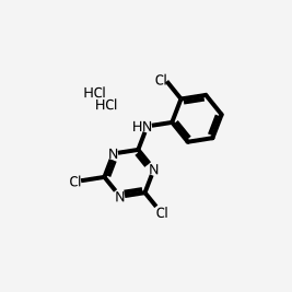 Cl.Cl.Clc1nc(Cl)nc(Nc2ccccc2Cl)n1